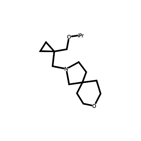 CC(C)OCC1(CN2CCC3(CCOCC3)C2)CC1